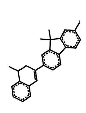 CC1CC(c2ccc3c(c2)C(C)(C)c2cc(I)ccc2-3)=Cc2ccccc21